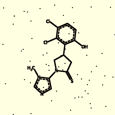 Cn1cncc1N1CC(c2c(O)ccc(Cl)c2Cl)CC1=S